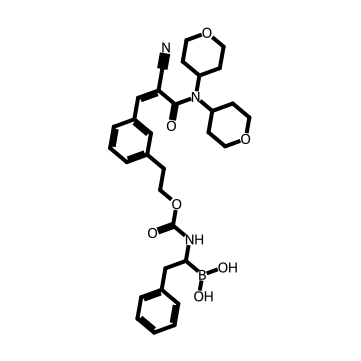 N#CC(=Cc1cccc(CCOC(=O)NC(Cc2ccccc2)B(O)O)c1)C(=O)N(C1CCOCC1)C1CCOCC1